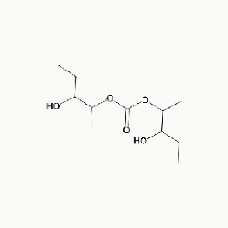 CCC(O)C(C)OC(=O)OC(C)C(O)CC